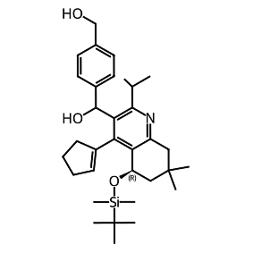 CC(C)c1nc2c(c(C3=CCCC3)c1C(O)c1ccc(CO)cc1)[C@H](O[Si](C)(C)C(C)(C)C)CC(C)(C)C2